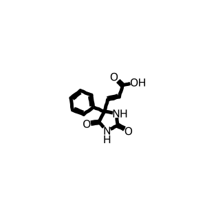 O=C(O)C=CC1(c2ccccc2)NC(=O)NC1=O